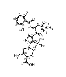 C[C@H]1C[C@H](n2ncc(C(=O)N(CC(=O)c3c(Cl)cncc3Cl)CC(C)(C)C)c2C(F)(F)F)CC[C@H]1C(=O)O